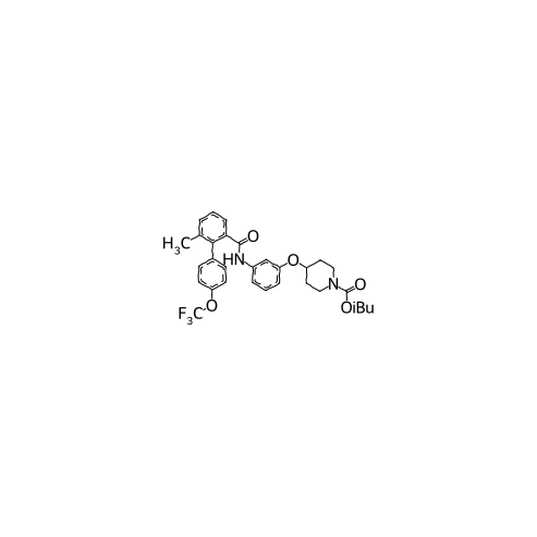 Cc1cccc(C(=O)Nc2cccc(OC3CCN(C(=O)OCC(C)C)CC3)c2)c1-c1ccc(OC(F)(F)F)cc1